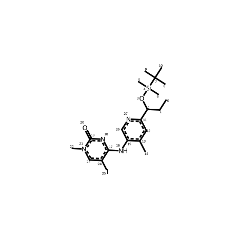 CCC(O[Si](C)(C)C(C)(C)C)c1cc(C)c(Nc2nc(=O)n(C)cc2I)cn1